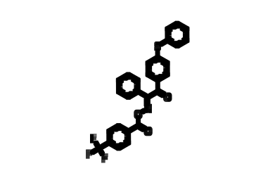 O=C(O/N=C(/C(=O)c1ccc(Sc2ccccc2)cc1)c1ccccc1)c1ccc(C(F)(F)F)cc1